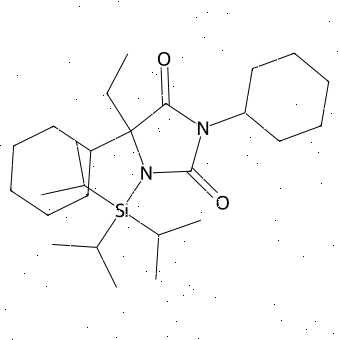 CCC1(C2CCCCC2)C(=O)N(C2CCCCC2)C(=O)N1[Si](C(C)C)(C(C)C)C(C)C